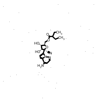 CCC(CC)C(=O)OC[C@H]1O[C@@](C#N)(c2ccc3c(N)ccnn23)[C@H](O)[C@@H]1O